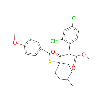 COC(=O)C(C(=O)C1(SCc2ccc(OC)cc2)CCC(C)CC1)c1ccc(Cl)cc1Cl